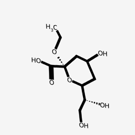 CCO[C@]1(C(=O)O)CC(O)CC([C@H](O)CO)O1